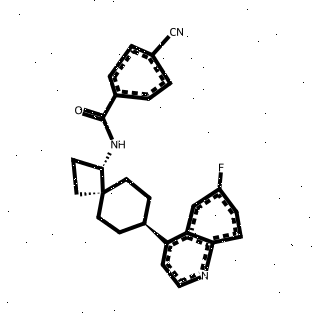 N#Cc1ccc(C(=O)N[C@H]2CC[C@]23CC[C@H](c2ccnc4ccc(F)cc42)CC3)cc1